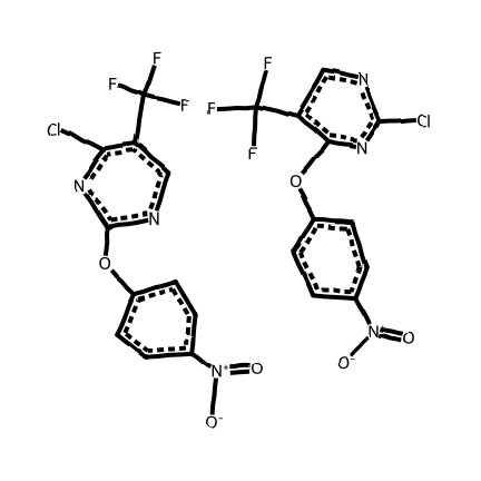 O=[N+]([O-])c1ccc(Oc2nc(Cl)ncc2C(F)(F)F)cc1.O=[N+]([O-])c1ccc(Oc2ncc(C(F)(F)F)c(Cl)n2)cc1